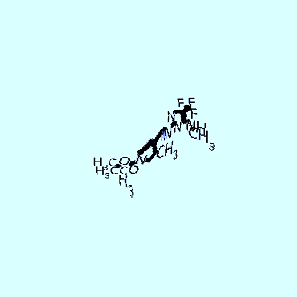 CNc1nc(/N=C/C2CCN(C(=O)OC(C)(C)C)CC2C)ncc1C(F)(F)F